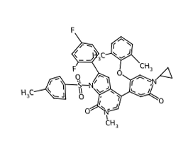 Cc1ccc(S(=O)(=O)n2c(-c3ccc(F)cc3F)cc3c(-c4cc(=O)n(C5CC5)cc4Oc4c(C)cccc4C)cn(C)c(=O)c32)cc1